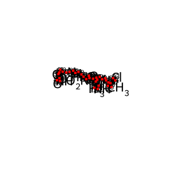 CC1(C)CCC(CN2CCN(c3ccc(C(=O)NS(=O)(=O)c4ccc(NCC5CCN(C6CCN(CCC#Cc7cccc8c7CN(C7CCC(=O)NC7=O)C8=O)CC6)CC5)c([N+](=O)[O-])c4)c(Oc4cnc5[nH]ccc5c4)c3)CC2)=C(c2ccc(Cl)cc2)C1